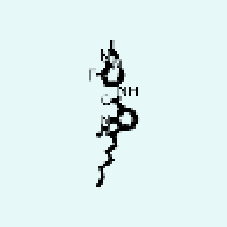 CCCCCCc1c2cccc(C(=O)Nc3cc(F)c4nc(C)cn4c3)c2nn1C